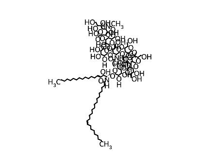 CCCCCCCC/C=C\CCCCCCCCCCCCCC(=O)N[C@@H](CO[C@@H]1OC(CO)[C@@H](O[C@@H]2OC(CO)[C@H](O)[C@H](O[C@@H]3OC(CO)[C@@H](O[C@@H]4OC(CO)[C@H](O)[C@H](O[C@@H]5OC(CO)[C@@H](O[C@@H]6OC(CO)[C@H](O)[C@H](O[C@]7(C(=O)O)CC(O)[C@@H](NC(C)=O)C([C@H](O)[C@H](O)CO)O7)C6O)[C@H](O[C@H]6OC(C)[C@@H](O)C(O)[C@@H]6O)C5NC(C)=O)C4O)[C@H](O)C3NC(C)=O)C2O)[C@H](O)C1O)[C@H](O)/C=C/CCCCCCCCCCCCC